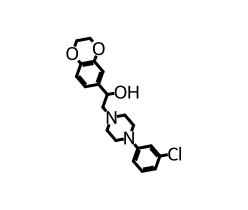 OC(CN1CCN(c2cccc(Cl)c2)CC1)c1ccc2c(c1)OCCO2